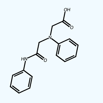 O=C(O)CN(CC(=O)Nc1ccccc1)c1ccccc1